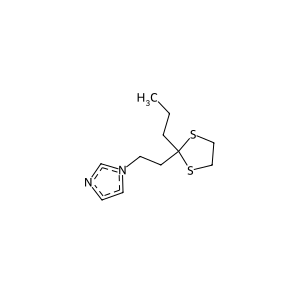 CCCC1(CCn2ccnc2)SCCS1